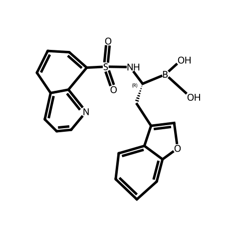 O=S(=O)(N[C@@H](Cc1coc2ccccc12)B(O)O)c1cccc2cccnc12